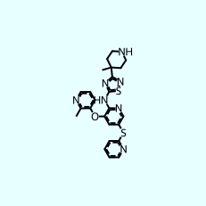 Cc1ncccc1Oc1cc(Sc2ccccn2)cnc1Nc1nc(C2(C)CCNCC2)ns1